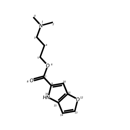 CN(C)CCCOC(=O)c1cc2occc2[nH]1